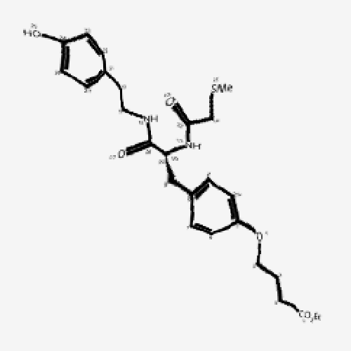 CCOC(=O)CCCOc1ccc(C[C@H](NC(=O)CSC)C(=O)NCCc2ccc(O)cc2)cc1